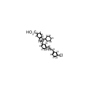 O=C(O)c1ccc2c(c1)nc(-c1cccc(CNCc3cccc(Cl)c3)c1)n2C1CCCCC1